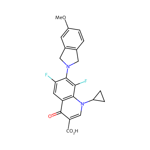 COc1ccc2c(c1)CN(c1c(F)cc3c(=O)c(C(=O)O)cn(C4CC4)c3c1F)C2